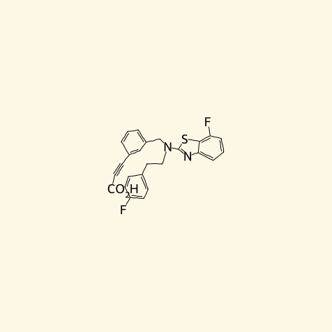 O=C(O)C#Cc1cccc(CN(CCc2ccc(F)cc2)c2nc3cccc(F)c3s2)c1